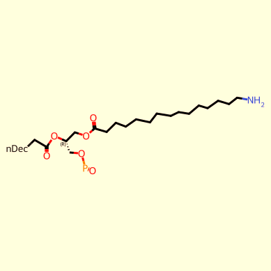 CCCCCCCCCCCC(=O)O[C@@H](COP=O)COC(=O)CCCCCCCCCCCCCCN